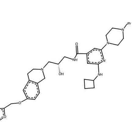 Cc1ncoc1COc1ccc2c(c1)CCN(C[C@@H](O)CNC(=O)c1cc(NC3CCC3)nc(N3CCN(C(C)C)CC3)c1)C2